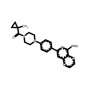 CNc1nc(-c2ccc(N3CCN(C(=O)C4(C)CC4)CC3)cc2)cc2nccnc12